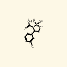 O=C(O)N1C(c2cccc(F)c2)COS1(=O)=O